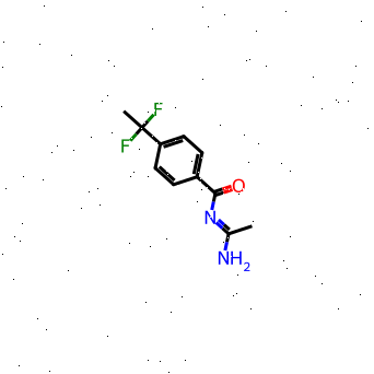 C/C(N)=N\C(=O)c1ccc(C(C)(F)F)cc1